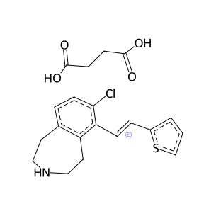 Clc1ccc2c(c1/C=C/c1cccs1)CCNCC2.O=C(O)CCC(=O)O